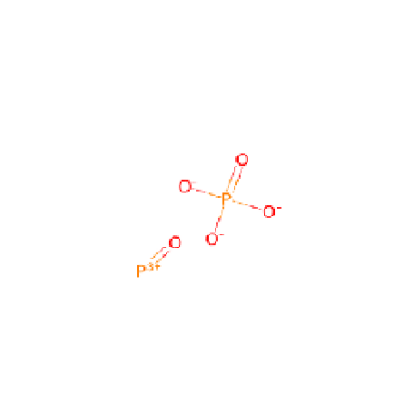 O=P([O-])([O-])[O-].O=[P+3]